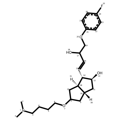 CN(C)CCCCOC1C[C@H]2C[C@H](O)[C@@H](C=CC(O)COc3ccc(F)cc3)[C@@H]2C1